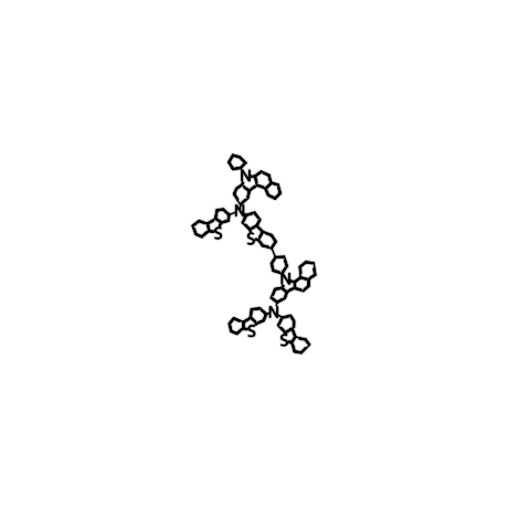 c1ccc(-n2c3ccc(N(c4ccc5c(c4)sc4ccccc45)c4ccc5c(c4)sc4cc(-c6ccc(-n7c8ccc(N(c9ccc%10c(c9)sc9ccccc9%10)c9ccc%10c(c9)sc9ccccc9%10)cc8c8ccc9ccccc9c87)cc6)ccc45)cc3c3c4ccccc4ccc32)cc1